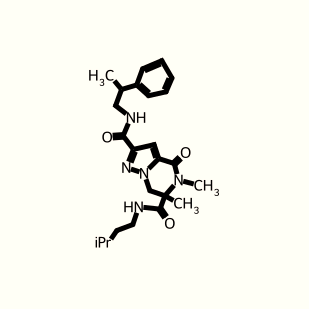 CC(C)CCNC(=O)C1(C)Cn2nc(C(=O)NCC(C)c3ccccc3)cc2C(=O)N1C